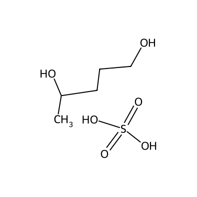 CC(O)CCCO.O=S(=O)(O)O